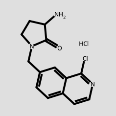 Cl.NC1CCN(Cc2ccc3ccnc(Cl)c3c2)C1=O